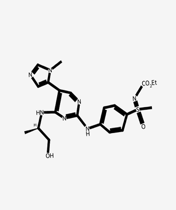 CCOC(=O)N=S(C)(=O)c1ccc(Nc2ncc(-c3cncn3C)c(N[C@H](C)CO)n2)cc1